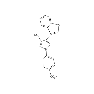 N#Cc1cn(-c2ccc(C(=O)O)cc2)cc1-c1csc2ccccc12